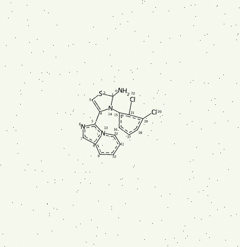 NC1SC=C(c2ncc3ccccn23)N1c1cccc(Cl)c1Cl